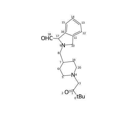 CC(C)(C)C(=O)CN1CCC(CN2Cc3ccccc3C2C=O)CC1